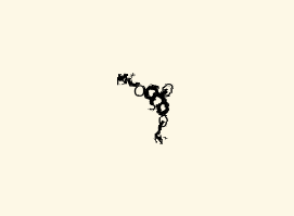 C[N+](C)(C)CCCOc1ccc2c(=O)c3ccc(OCCC[N+](C)(C)C)cc3sc2c1